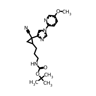 COc1ccc(-n2cnc(C3(C#N)CC3CCCNC(=O)OC(C)(C)C)c2)nc1